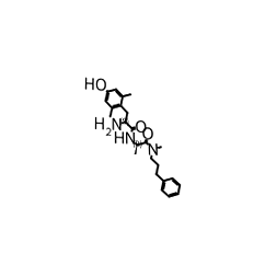 Cc1cc(O)cc(C)c1C[C@H](N)C(=O)N[C@H](C)C(=O)N(C)CCCc1ccccc1